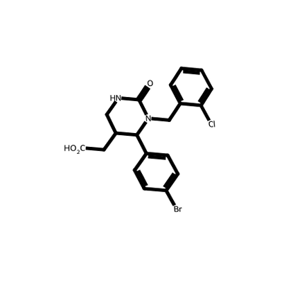 O=C(O)CC1CNC(=O)N(Cc2ccccc2Cl)C1c1ccc(Br)cc1